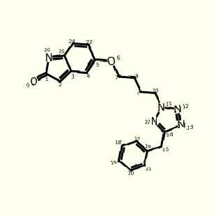 O=C1C=c2cc(OCCCCn3nnc(Cc4ccccc4)n3)ccc2=N1